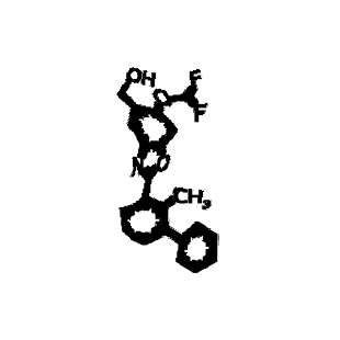 Cc1c(-c2ccccc2)cccc1-c1nc2cc(CO)c(OC(F)F)cc2o1